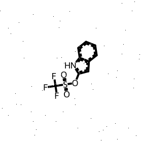 O=S(=O)(Oc1cc2ccccc2[nH]1)C(F)(F)F